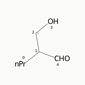 CCCC([CH]O)C=O